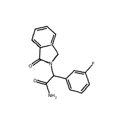 NC(=O)C(c1cccc(F)c1)N1Cc2ccccc2C1=O